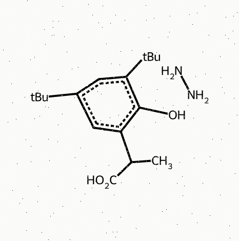 CC(C(=O)O)c1cc(C(C)(C)C)cc(C(C)(C)C)c1O.NN